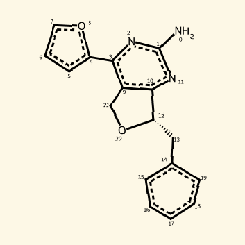 Nc1nc(-c2ccco2)c2c(n1)[C@H](Cc1ccccc1)OC2